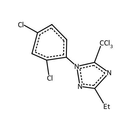 CCc1nc(C(Cl)(Cl)Cl)n(-c2ccc(Cl)cc2Cl)n1